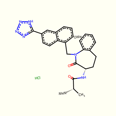 CN[C@@H](C)C(=O)N[C@H]1CCc2ccccc2N(Cc2c(OC)ccc3cc(-c4nnn[nH]4)ccc23)C1=O.Cl